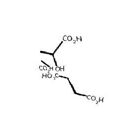 CC(=O)O.CC(O)C(=O)O.O=C(O)CCC(=O)O